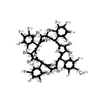 Fc1c(F)c(F)c(-c2c3nc(c(-c4c(F)c(F)c(F)c(F)c4F)c4[nH]c(c(Br)c4Br)c(-c4c(F)c(F)c(F)c(F)c4F)c4nc(c(-c5c(F)c(F)c(F)c(F)c5F)c5[nH]c2c(Br)c5Br)C(Br)=C4Br)C(Br)=C3Br)c(F)c1F.[Co+2]